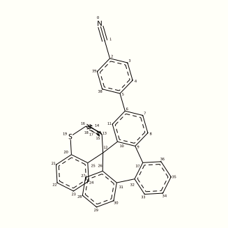 N#Cc1ccc(-c2ccc3c(c2)C2(c4ccccc4Sc4ccccc42)c2ccccc2-c2ccccc2-3)cc1